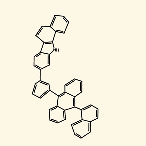 c1cc(-c2ccc3c(c2)[nH]c2c4ccccc4ccc32)cc(-c2c3ccccc3c(-c3cccc4ccccc34)c3ccccc23)c1